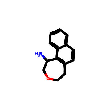 NC1COCCc2ccc3ccccc3c21